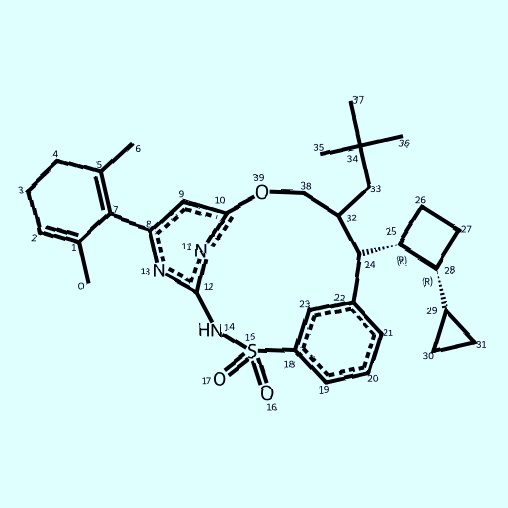 CC1=CCCC(C)=C1c1cc2nc(n1)NS(=O)(=O)c1cccc(c1)C([C@@H]1CC[C@@H]1C1CC1)C(CC(C)(C)C)CO2